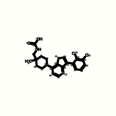 CC1(CNC(=O)O)CCN(c2ncnc3c(-c4cccc(Cl)c4Cl)csc23)CC1